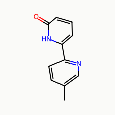 Cc1ccc(-c2cccc(=O)[nH]2)nc1